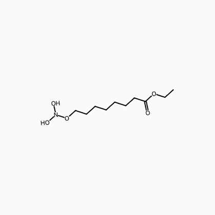 CCOC(=O)CCCCCCCON(O)O